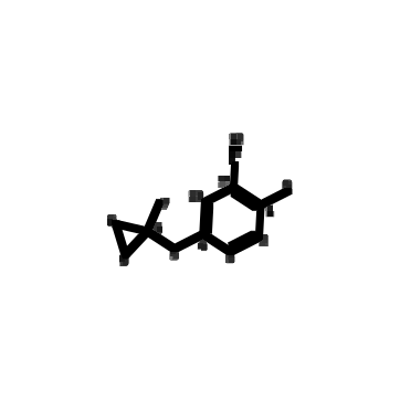 Cc1ccc(CC2(C)CC2)cc1F